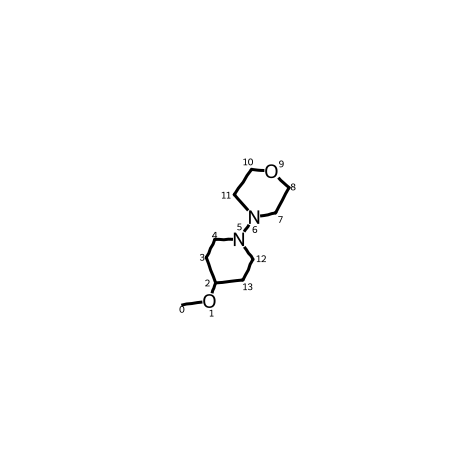 COC1CCN(N2CCOCC2)CC1